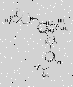 CC(C)(C)N.CCC1(C(=O)O)CCN(Cc2ccc(-c3noc(-c4ccc(CC(C)C)c(Cl)c4)n3)cc2)CC1